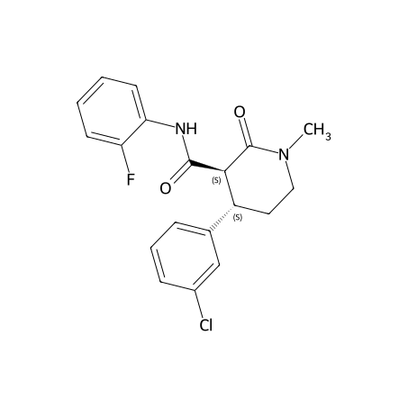 CN1CC[C@H](c2cccc(Cl)c2)[C@@H](C(=O)Nc2ccccc2F)C1=O